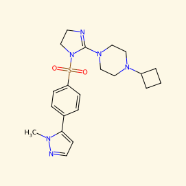 Cn1nccc1-c1ccc(S(=O)(=O)N2CCN=C2N2CCN(C3CCC3)CC2)cc1